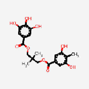 Cc1c(O)cc(C(=O)OCC(C)(C)COC(=O)c2cc(O)c(O)c(O)c2)cc1O